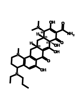 CCCN(CC)C1CCN(C)c2c1cc(O)c1c2C[C@@H]2C[C@@H]3[C@@H](N(C)C)C(O)=C(C(N)=O)C(=O)[C@@]3(O)C(O)=C2C1=O